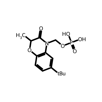 CC1Oc2ccc(C(C)(C)C)cc2N(COP(=O)(O)O)C1=O